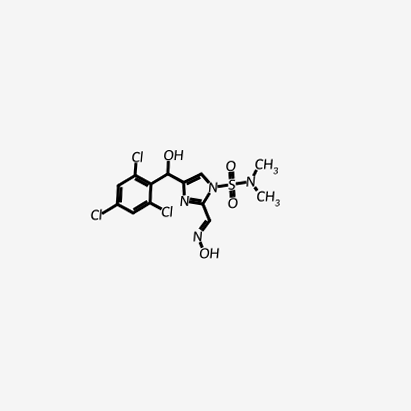 CN(C)S(=O)(=O)n1cc(C(O)c2c(Cl)cc(Cl)cc2Cl)nc1C=NO